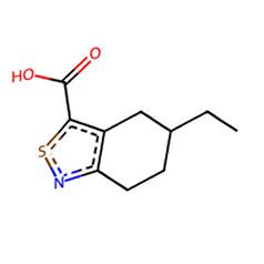 CCC1CCc2nsc(C(=O)O)c2C1